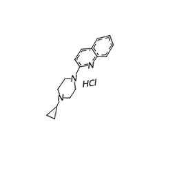 Cl.c1ccc2nc(N3CCN(C4CC4)CC3)ccc2c1